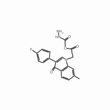 Cc1ccc2c(=O)c(-c3ccc(F)cc3)cn(CC(=O)OC(=O)NN)c2c1